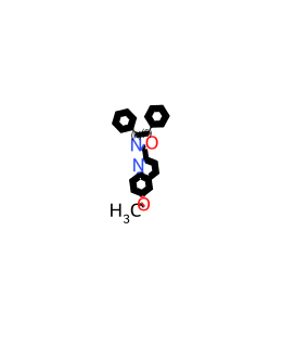 COc1ccc2nc(C3=N[C@H](c4ccccc4)[C@H](c4ccccc4)O3)ccc2c1